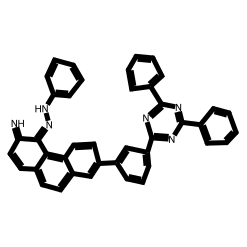 N=C1C=Cc2ccc3cc(-c4cccc(-c5nc(-c6ccccc6)nc(-c6ccccc6)n5)c4)ccc3c2/C1=N/Nc1ccccc1